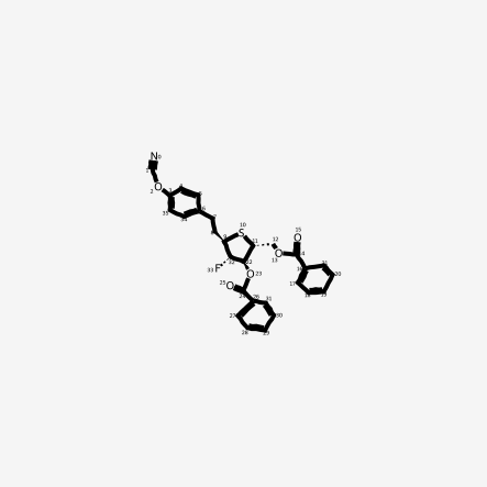 N#COc1ccc(CC[C@H]2S[C@H](COC(=O)c3ccccc3)[C@@H](OC(=O)c3ccccc3)[C@@H]2F)cc1